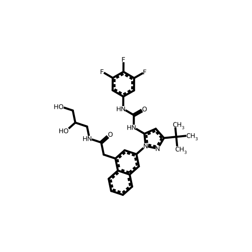 CC(C)(C)c1cc(NC(=O)Nc2cc(F)c(F)c(F)c2)n(-c2cc(CC(=O)NCC(O)CO)c3ccccc3c2)n1